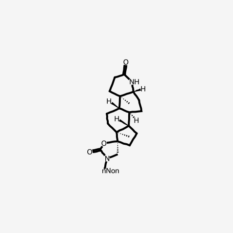 CCCCCCCCCN1C[C@]2(CC[C@H]3[C@@H]4CC[C@H]5NC(=O)CC[C@]5(C)[C@H]4CC[C@@]32C)OC1=O